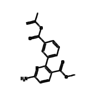 C=C(C)OC(=O)c1cccc(-c2nc(N)ccc2C(=O)OC)c1